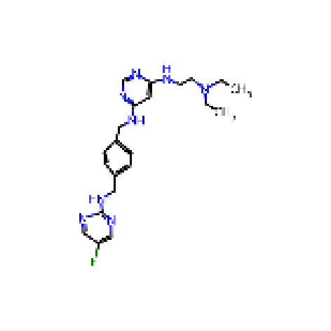 CCN(CC)CCNc1cc(NCc2ccc(CNc3ncc(F)cn3)cc2)ncn1